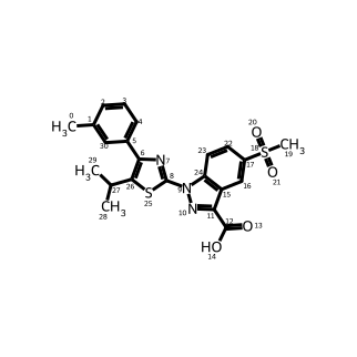 Cc1cccc(-c2nc(-n3nc(C(=O)O)c4cc(S(C)(=O)=O)ccc43)sc2C(C)C)c1